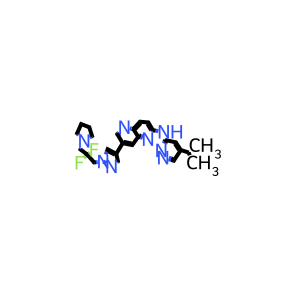 CC(C)c1cnnc(Nc2ccc3ncc(-c4cnn(CC(F)(F)CN5CCCC5)c4)cc3n2)c1